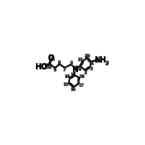 Nc1ccc(N(CCCCC(=O)O)c2ccccc2)cc1